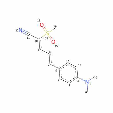 CN(C)c1ccc(C=CC=C(C#N)S(C)(=O)=O)cc1